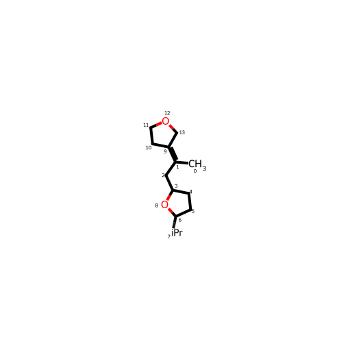 C/C(CC1CCC(C(C)C)O1)=C1/CCOC1